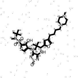 CN1CCN(CCCCc2coc([C@H](Nc3n[s+]([O-])nc3Nc3csc(S(=O)(=O)N(C)C(C)(C)C)c3O)C(C)(C)C)c2)CC1